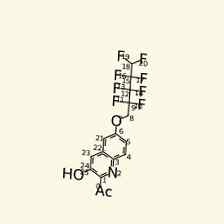 CC(=O)c1nc2ccc(OCC(F)(F)C(F)(F)C(F)(F)C(F)F)cc2cc1O